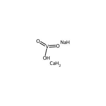 [CaH2].[NaH].[O]=[V](=[O])[OH]